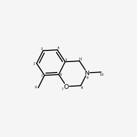 Cc1cccc2c1OCN(C)C2